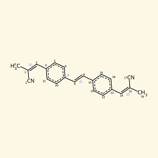 C/C(C#N)=C/c1ccc(/C=C/c2ccc(/C=C(/C)C#N)cc2)cc1